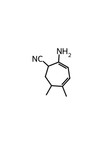 CC1=CC=C(N)C(C#N)CC1C